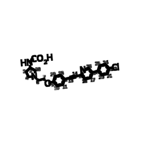 O=C(O)NC1CCN(CCOc2ccc(C#Cc3ccc(-c4ccc(Cl)cc4)cn3)cc2)C1